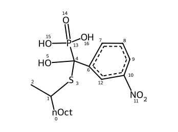 CCCCCCCCC(C)SC(O)(c1cccc([N+](=O)[O-])c1)P(=O)(O)O